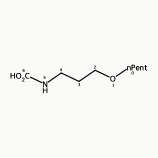 CCCCCOCCCNC(=O)O